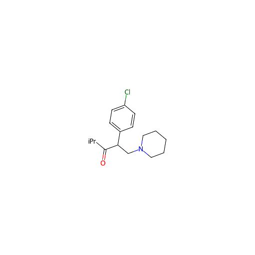 CC(C)C(=O)C(CN1CCCCC1)c1ccc(Cl)cc1